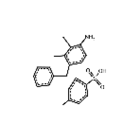 Cc1c(N)ccc(Cc2ccccc2)c1C.Cc1ccc(S(=O)(=O)O)cc1